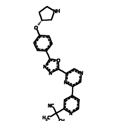 CC(C)(C#N)c1cc(-c2cncc(-c3nnc(-c4ccc(O[C@@H]5CCNC5)cc4)o3)n2)ccn1